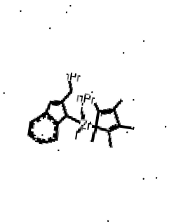 CCCC1=C(C)C(C)=C(C)[C]1(C)[Zr]([I])([I])[CH]1C(CC(C)C)=Cc2ccccc21